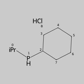 CC(C)PC1CCCCC1.Cl